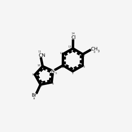 Cc1ccc(-n2cc(Br)cc2C#N)cc1Cl